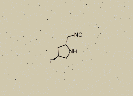 O=NC[C@H]1C[C@H](F)CN1